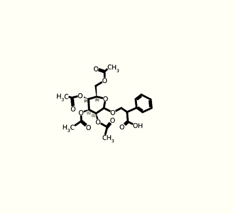 CC(=O)OC[C@H]1OC(OCC(C(=O)O)c2ccccc2)[C@@H](OC(C)=O)[C@@H](OC(C)=O)[C@@H]1OC(C)=O